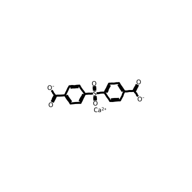 O=C([O-])c1ccc(S(=O)(=O)c2ccc(C(=O)[O-])cc2)cc1.[Ca+2]